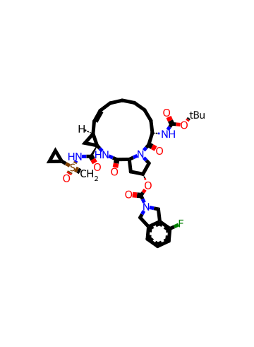 C=S(=O)(NC(=O)[C@@]12C[C@H]1/C=C\CCCCC[C@H](NC(=O)OC(C)(C)C)C(=O)N1C[C@H](OC(=O)N3Cc4cccc(F)c4C3)CC1C(=O)N2)C1CC1